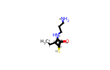 CCc1c(NCCCN)c(=O)c1=S